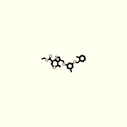 C=C(Cl)c1c(COc2cc(C)cc(OCc3ccccc3C)c2)csc1/C(=C\C)C(=O)OCC